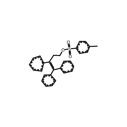 Cc1ccc(S(=O)(=O)OCCC(=C(c2ccccc2)c2ccccc2)c2ccccc2)cc1